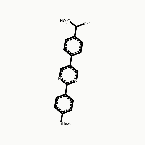 CCCCCCCc1ccc(-c2ncc(-c3ccc(C(CCC)C(=O)O)cc3)cn2)cc1